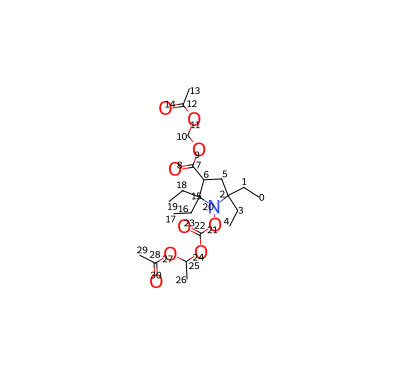 CCC1(CC)CC(C(=O)OCOC(C)=O)C(CC)(CC)N1OC(=O)OC(C)OC(C)=O